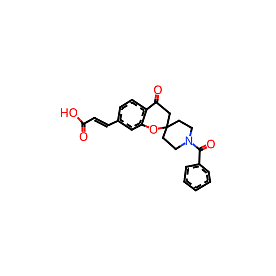 O=C(O)C=Cc1ccc2c(c1)OC1(CCN(C(=O)c3ccccc3)CC1)CC2=O